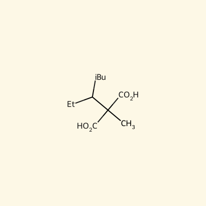 CCC(C)C(CC)C(C)(C(=O)O)C(=O)O